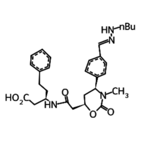 CCCCNN=Cc1ccc([C@@H]2C[C@H](CC(=O)N[C@H](CCc3ccccc3)CC(=O)O)OC(=O)N2C)cc1